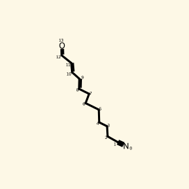 N#CCCCCCC/C=C/C=C/C=O